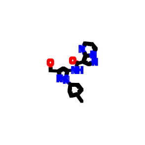 Cc1ccc(-n2nc(C=O)cc2NC(=O)c2cnn3cccnc23)cc1